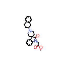 COC(=O)CN1C(=O)C2(CCN(C3CCc4ccccc4C3)CC2)c2ccccc21